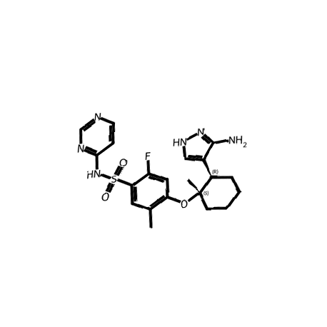 Cc1cc(S(=O)(=O)Nc2ccncn2)c(F)cc1O[C@@]1(C)CCCC[C@@H]1c1c[nH]nc1N